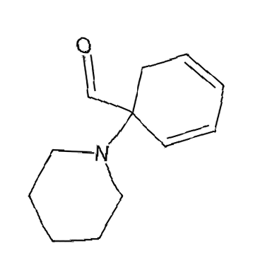 O=CC1(N2CCCCC2)C=CC=CC1